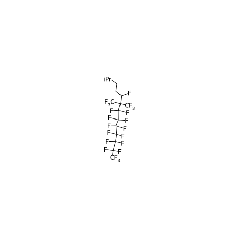 CC(C)CCC(F)C(C(F)(F)F)(C(F)(F)F)C(F)(F)C(F)(F)C(F)(F)C(F)(F)C(F)(F)C(F)(F)C(F)(F)F